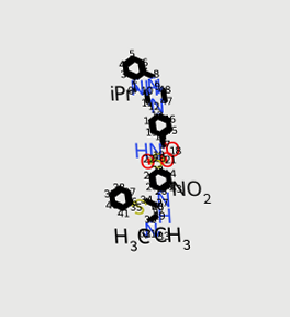 CC(C)Nc1ccccc1CN1CCN(c2ccc(C(=O)NS(=O)(=O)c3ccc(N[C@H](CCN(C)C)CSc4ccccc4)c([N+](=O)[O-])c3)cc2)CC1